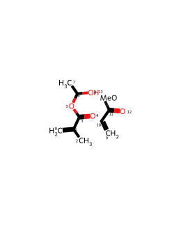 C=C(C)C(=O)OC(C)O.C=CC(=O)OC